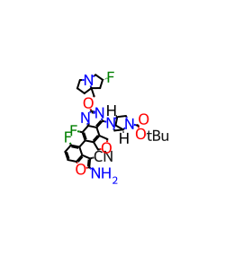 CC(C)(C)OC(=O)N1C[C@H]2C[C@@H]1CN2c1nc(OCC23CCCN2C[C@H](F)C3)nc2c(F)c(-c3c(F)ccc4oc(N)c(C#N)c34)c3c(c12)COC3